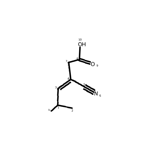 CC(C)/C=C(\C#N)CC(=O)O